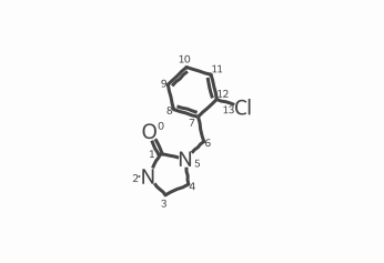 O=C1[N]CCN1Cc1ccccc1Cl